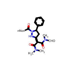 CCCCCCCCCC(=O)N1N/C(=C(\C(=O)N(C)C)C(=O)N(C)C=O)CC1c1ccccc1